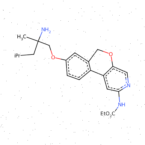 CCOC(=O)Nc1cc2c(cn1)OCc1cc(OCC(C)(N)CC(C)C)ccc1-2